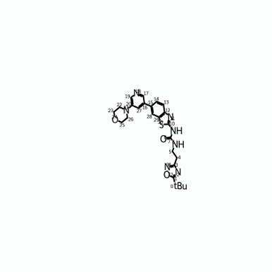 CC(C)(C)c1nc(CCNC(=O)Nc2nc3ccc(-c4cncc(N5CCOCC5)c4)cc3s2)no1